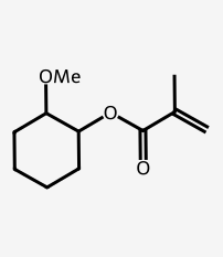 C=C(C)C(=O)OC1CCCCC1OC